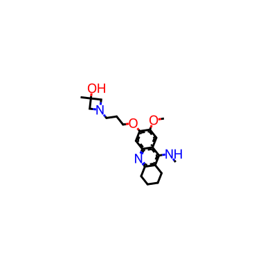 CNc1c2c(nc3cc(OCCCN4CC(C)(O)C4)c(OC)cc13)CCCC2